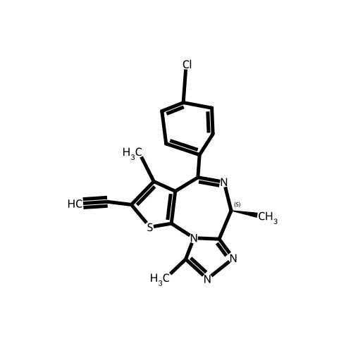 C#Cc1sc2c(c1C)C(c1ccc(Cl)cc1)=N[C@@H](C)c1nnc(C)n1-2